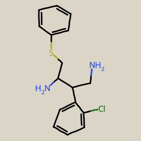 NCC(c1ccccc1Cl)C(N)CSc1ccccc1